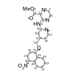 COC(=O)c1nccnc1Nc1cc(COc2ccc([N+](=O)[O-])c3ccccc23)ccn1